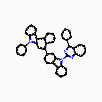 c1ccc(-c2nc(-n3c4ccccc4c4ccc(-c5cc6c(c7ccccc57)c5ccccc5n6-c5ccccc5)cc43)nc3ccccc23)cc1